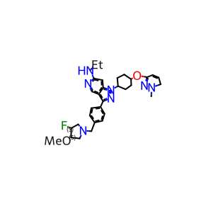 CCNc1cc2c(cn1)c(-c1ccc(CN3C[C@H](OC)[C@@H](F)C3)cc1)nn2C1CCC(OC2=NN(C)CC=C2)CC1